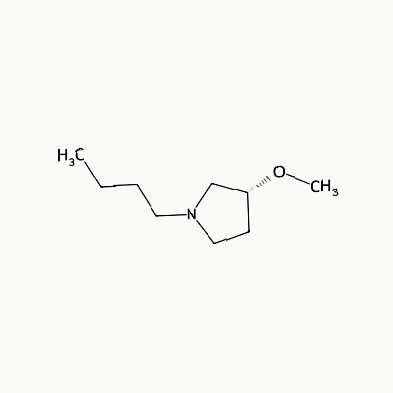 CCCCN1CC[C@@H](OC)C1